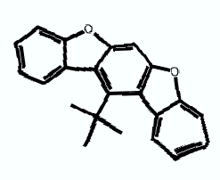 CC(C)(C)c1c2c(cc3oc4ccccc4c13)oc1ccccc12